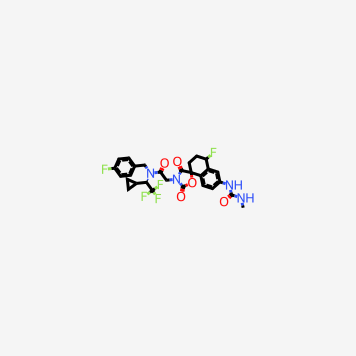 CNC(=O)Nc1ccc2c(c1)C(F)CCC21OC(=O)N(CC(=O)N(Cc2ccc(F)cc2)[C@@H](C2CC2)C(F)(F)F)C1=O